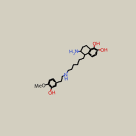 COc1ccc(CCNCCCCCCC2c3ccc(O)c(O)c3CCC2N)cc1O